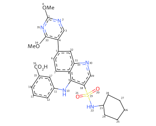 COc1ncc(-c2ccc3c(Nc4cccc(C(=O)O)c4)c(S(=O)(=O)NC4CCCCC4)cnc3c2)c(OC)n1